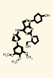 COc1cc(-n2cnc(Nc3nc(N4CCC[C@H]4CO)nc4c3cnn4C3CCC(O)CC3)c2)cc(OC)c1OC